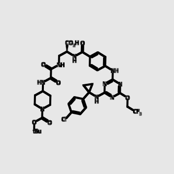 CC(C)(C)OC(=O)N1CCC(NC(=O)C(=O)NC[C@H](NC(=O)c2ccc(Nc3nc(NC4(c5ccc(Cl)cc5)CC4)nc(OCC(F)(F)F)n3)cc2)C(=O)O)CC1